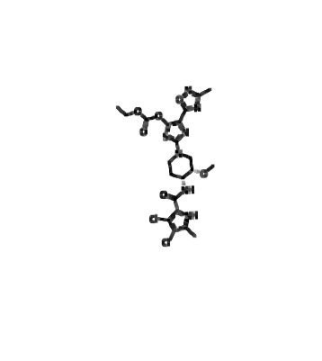 CCOC(=O)Oc1sc(N2CC[C@@H](NC(=O)c3[nH]c(C)c(Cl)c3Cl)[C@@H](OC)C2)nc1-c1nc(C)no1